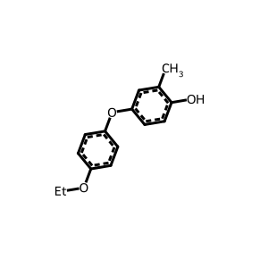 CCOc1ccc(Oc2ccc(O)c(C)c2)cc1